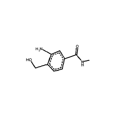 CNC(=O)c1ccc(CO)c(N)c1